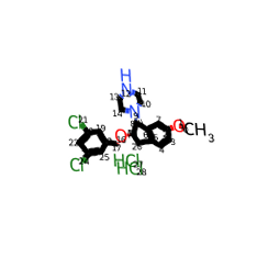 COc1ccc2c(c1)[C@@H](N1CCNCC1)[C@H](OCc1cc(Cl)cc(Cl)c1)C2.Cl.Cl